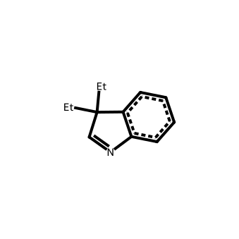 CCC1(CC)C=Nc2ccccc21